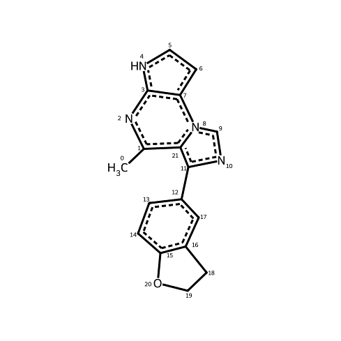 Cc1nc2[nH]ccc2n2cnc(-c3ccc4c(c3)CCO4)c12